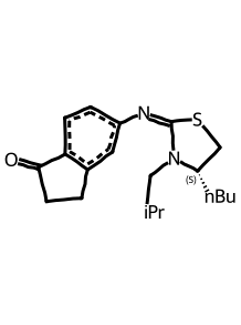 CCCC[C@H]1CSC(=Nc2ccc3c(c2)CCC3=O)N1CC(C)C